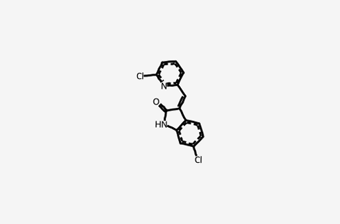 O=C1Nc2cc(Cl)ccc2C1=Cc1cccc(Cl)n1